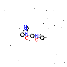 Cc1ccc(C(=O)Nc2ccc(C(=O)N3Cc4ccnn4Cc4ccccc43)cc2)c(C)c1